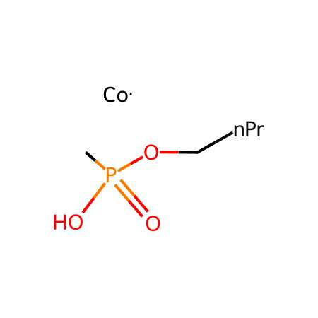 CCCCOP(C)(=O)O.[Co]